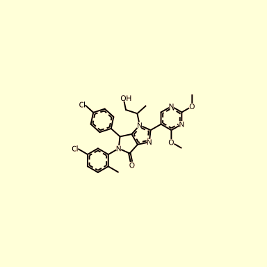 COc1ncc(-c2nc3c(n2C(C)CO)C(c2ccc(Cl)cc2)N(c2cc(Cl)ccc2C)C3=O)c(OC)n1